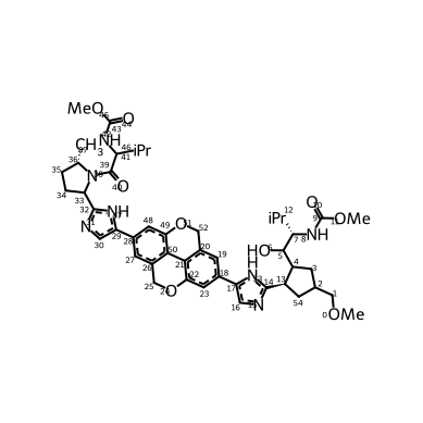 COCC1CC(C(O)[C@@H](NC(=O)OC)C(C)C)[C@H](c2ncc(-c3cc4c5c(c3)OCc3cc(-c6cnc(C7CC[C@H](C)N7C(=O)C(NC(=O)OC)C(C)C)[nH]6)cc(c3-5)OC4)[nH]2)C1